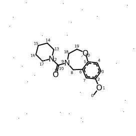 COc1ccc2c(c1)CN(C(=O)N1CCCCC1)CCO2